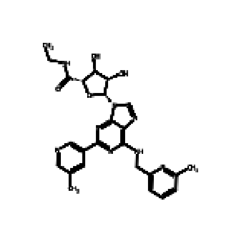 CCNC(=O)[C@H]1O[C@@H](n2cnc3c(NCc4cccc(C)n4)nc(-c4cncc(C)c4)nc32)[C@H](O)[C@@H]1O